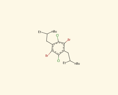 CCCCC(CC)Cc1c(Cl)c(Br)c(CC(CC)CCCC)c(Cl)c1Br